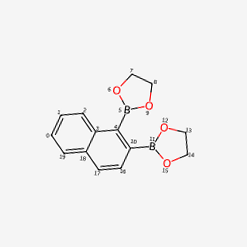 c1ccc2c(B3OCCO3)c(B3OCCO3)ccc2c1